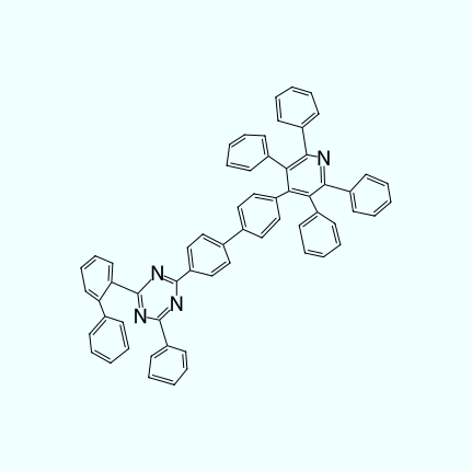 c1ccc(-c2nc(-c3ccc(-c4ccc(-c5c(-c6ccccc6)c(-c6ccccc6)nc(-c6ccccc6)c5-c5ccccc5)cc4)cc3)nc(-c3ccccc3-c3ccccc3)n2)cc1